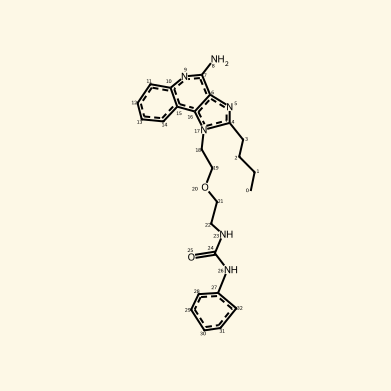 CCCCc1nc2c(N)nc3ccccc3c2n1CCOCCNC(=O)Nc1ccccc1